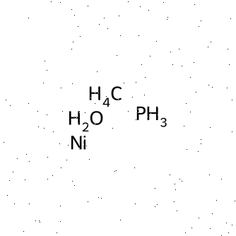 C.O.P.[Ni]